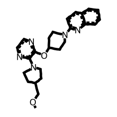 COCC1CCN(c2nccnc2OC2CCN(c3ccc4ccccc4n3)CC2)CC1